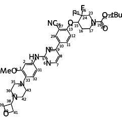 COc1cc(Nc2nccc(-c3ccc(OC4CCN(C(=O)OC(C)(C)C)CC4(F)F)c(C#N)c3)n2)ccc1N1CCN(C2COC2)CC1